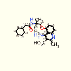 Cc1nc2cccc(OCC(C)(C)NC(=O)CC3CCCCC3)c2c(N)c1C(=O)O